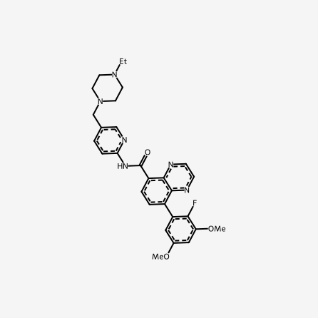 CCN1CCN(Cc2ccc(NC(=O)c3ccc(-c4cc(OC)cc(OC)c4F)c4nccnc34)nc2)CC1